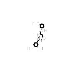 Cc1ccc(-c2nc3[nH]c(CNc4cccc(C(F)(F)F)c4)cc(=O)n3n2)cc1C